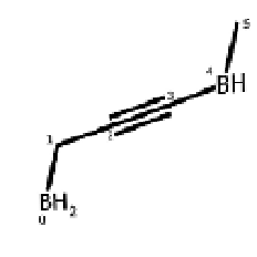 BCC#CBC